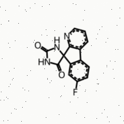 O=C1NC(=O)C2(N1)c1cc(F)ccc1-c1cccnc12